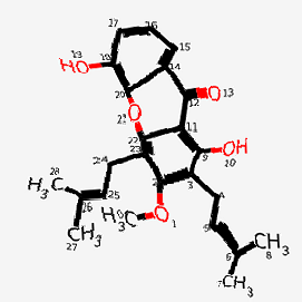 COc1c(CC=C(C)C)c(O)c2c(=O)c3cccc(O)c3oc2c1CC=C(C)C